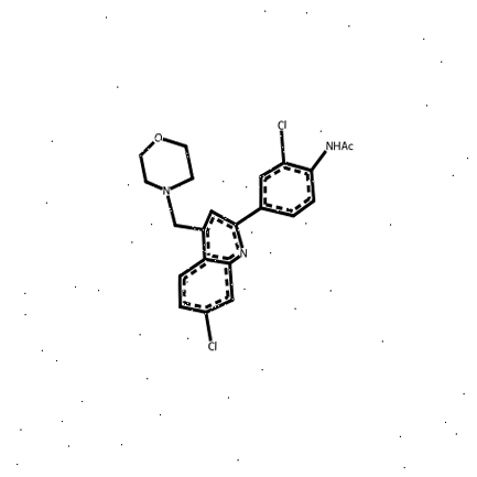 CC(=O)Nc1ccc(-c2cc(CN3CCOCC3)c3ccc(Cl)cc3n2)cc1Cl